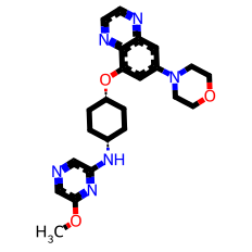 COc1cncc(N[C@H]2CC[C@@H](Oc3cc(N4CCOCC4)cc4nccnc34)CC2)n1